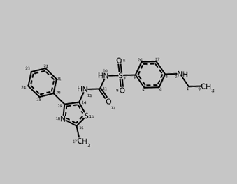 CCNc1ccc(S(=O)(=O)NC(=O)Nc2sc(C)nc2-c2ccccc2)cc1